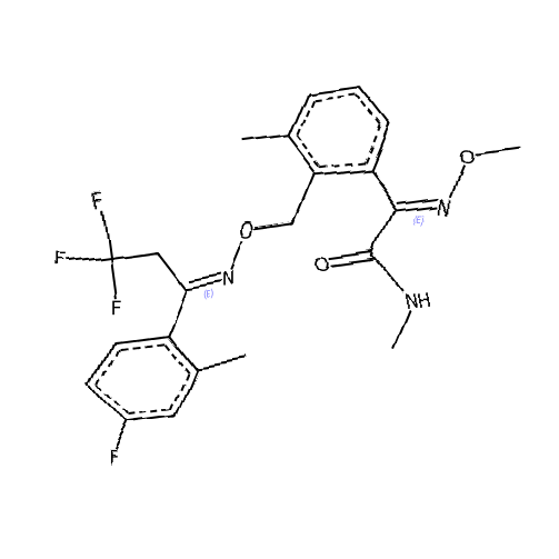 CNC(=O)/C(=N/OC)c1cccc(C)c1CO/N=C(\CC(F)(F)F)c1ccc(F)cc1C